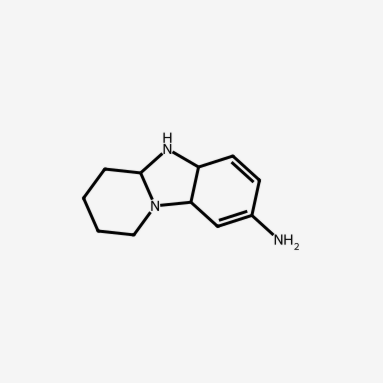 NC1=CC2C(C=C1)NC1CCCCN12